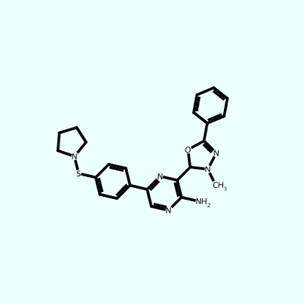 CN1N=C(c2ccccc2)OC1c1nc(-c2ccc(SN3CCCC3)cc2)cnc1N